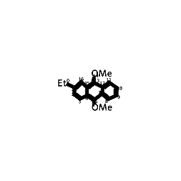 CCc1ccc2c(OC)c3ccccc3c(OC)c2c1